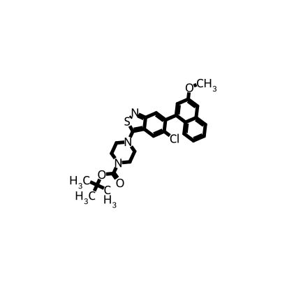 COc1cc(-c2cc3nsc(N4CCN(C(=O)OC(C)(C)C)CC4)c3cc2Cl)c2ccccc2c1